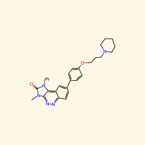 CC(C)n1c(=O)n(C)c2nnc3ccc(-c4ccc(OCCCN5CCCCC5)cc4)cc3c21